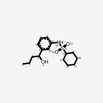 CCCC(O)c1cccc(NS(=O)(=O)C2CCCCC2)c1